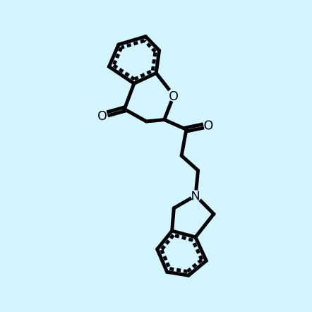 O=C1CC(C(=O)CCN2Cc3ccccc3C2)Oc2ccccc21